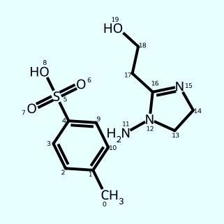 Cc1ccc(S(=O)(=O)O)cc1.NN1CCN=C1CCO